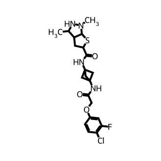 CC1NN(C)C2SC(C(=O)NC34CC(NC(=O)COc5ccc(Cl)c(F)c5)(C3)C4)CC12